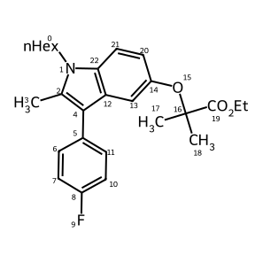 CCCCCCn1c(C)c(-c2ccc(F)cc2)c2cc(OC(C)(C)C(=O)OCC)ccc21